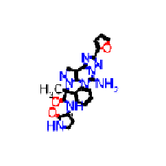 CC(C(=O)N[C@H]1CCNC1=O)(c1ccccc1)n1ncc2c1nc(N)n1nc(-c3ccco3)nc21